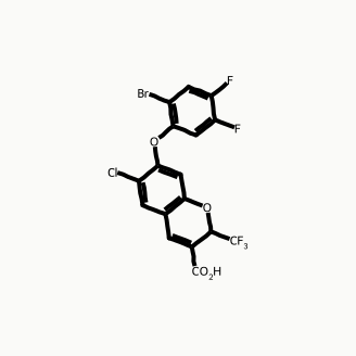 O=C(O)C1=Cc2cc(Cl)c(Oc3cc(F)c(F)cc3Br)cc2OC1C(F)(F)F